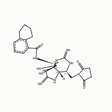 N=C1N[C@H]2[C@H](CN3C(=O)CCC3=O)NC(=N)N3C[C@H](NC(=O)c4cccc5c4CCCC5)C(O)(O)[C@]23N1